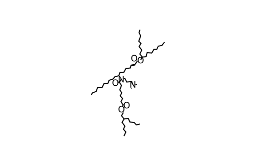 CCCCCCCCCCC(CCCCC=CC(=O)OC(CCCCCCCC)CCCCCCCC)N(CCCN(C)C)C(=O)CCCCCCC(=O)OCCC(CCCCC)CCCCC